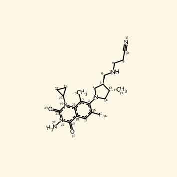 Cc1c(N2C[C@@H](CNCCC#N)[C@H](C)C2)c(F)cc2c(=O)n(N)c(=O)n(C3CC3)c12